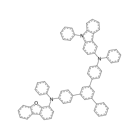 c1ccc(-c2cc(-c3ccc(N(c4ccccc4)c4ccc5c(c4)c4ccccc4n5-c4ccccc4)cc3)cc(-c3ccc(N(c4ccccc4)c4cccc5c4oc4ccccc45)cc3)c2)cc1